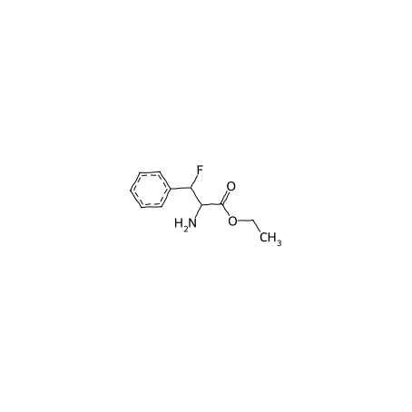 CCOC(=O)C(N)C(F)c1ccccc1